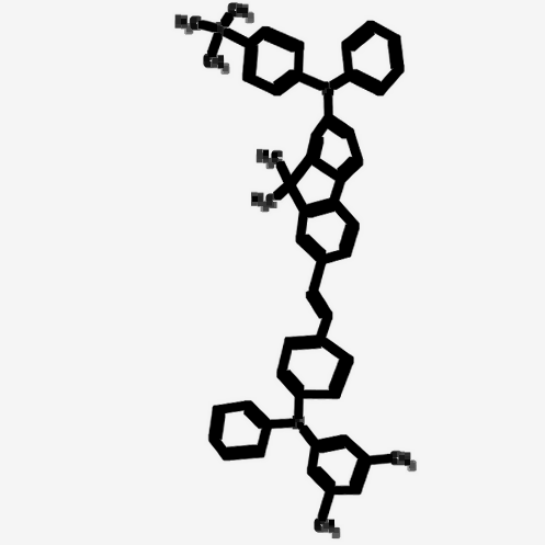 Cc1cc(C)cc(N(c2ccccc2)c2ccc(/C=C/c3ccc4c(c3)C(C)(C)c3cc(N(c5ccccc5)c5ccc([Si](C)(C)C)cc5)ccc3-4)cc2)c1